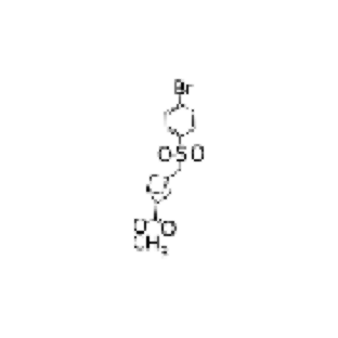 COC(=O)C1CC2(CS(=O)(=O)c3ccc(Br)cc3)CC1C2